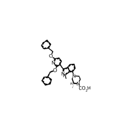 C[C@@H]1CN(c2cccc3c(-c4ccc(OCc5ccccc5)nc4OCc4ccccc4)nn(C)c23)CCN1C(=O)O